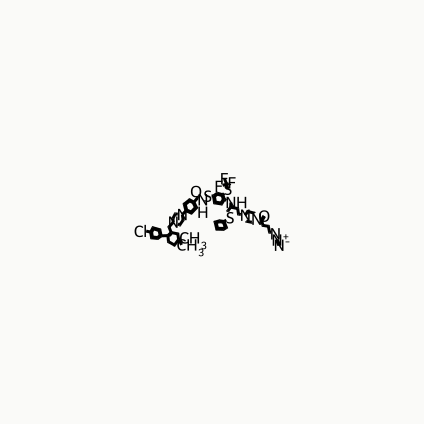 CC1(C)CCC(c2ccc(Cl)cc2)=C(CN2CCN(c3ccc(C(=O)NSc4ccc(NC(CCN5CCN(C(=O)CCCN=[N+]=[N-])CC5)CSc5ccccc5)c(SC(F)(F)F)c4)cc3)CC2)C1